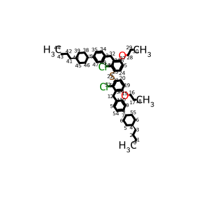 CCCC[C@H]1CC[C@H](c2ccc(Cc3c(OCCC)ccc(Sc4ccc(OCCC)c(Cc5ccc([C@H]6CC[C@H](CCCC)CC6)cc5)c4Cl)c3Cl)cc2)CC1